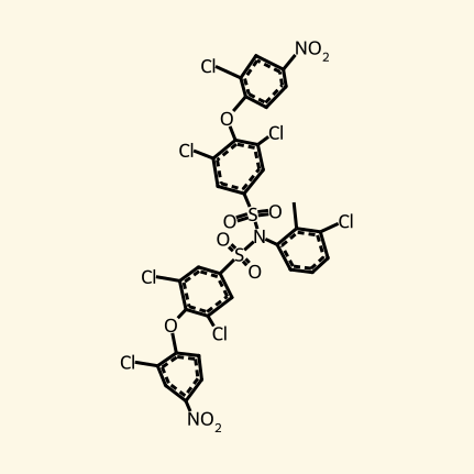 Cc1c(Cl)cccc1N(S(=O)(=O)c1cc(Cl)c(Oc2ccc([N+](=O)[O-])cc2Cl)c(Cl)c1)S(=O)(=O)c1cc(Cl)c(Oc2ccc([N+](=O)[O-])cc2Cl)c(Cl)c1